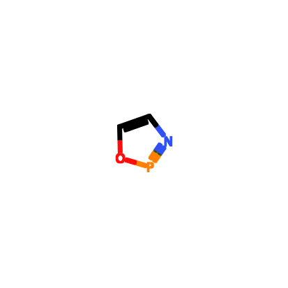 c1copn1